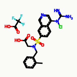 Cc1ccccc1CN(CC(=O)O)S(=O)(=O)c1ccc2c(N(Cl)C(=N)N)cncc2c1.O=C(O)C(F)(F)F